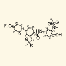 CS(=O)(=O)Cc1cc(-c2ccc(C(F)(F)F)cc2)ccc1C(=O)Nc1ccc(O)c(NS(C)(=O)=O)c1